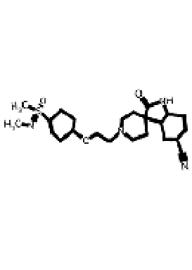 CN=S(C)(=O)C1CCC(OCCN2CCC3(CC2)C(=O)NC2CCC(C#N)CC23)CC1